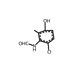 Cc1c(O)ccc(Cl)c1NC=O